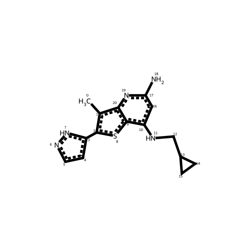 Cc1c(-c2ccn[nH]2)sc2c(NCC3CC3)cc(N)nc12